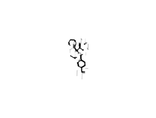 FC(F)(F)c1ccc(COc2ncncc2C2(C3OCCCO3)COCCO2)cc1